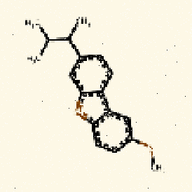 CSc1ccc2sc3cc(C(C)C(C)C)ccc3c2c1